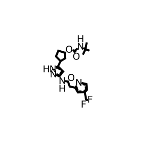 CC(C)(C)NC(=O)OC1CCC(c2cc(NC(=O)Cc3cc(C(F)F)ccn3)n[nH]2)C1